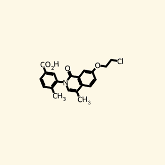 Cc1ccc(C(=O)O)cc1-n1cc(C)c2ccc(OCCCl)cc2c1=O